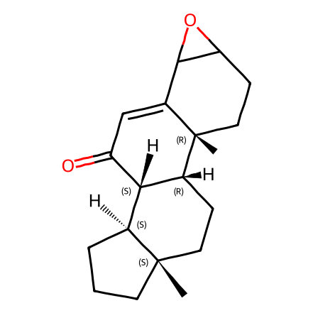 C[C@@]12CCC[C@H]1[C@@H]1C(=O)C=C3C4OC4CC[C@]3(C)[C@@H]1CC2